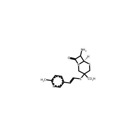 Cc1ccc(C=CSC2(C(=O)O)CS[C@@H]3C(N)C(=O)N3C2)cn1